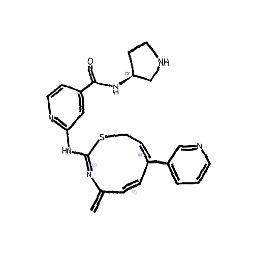 C=C1/C=C\C(c2cccnc2)=C/CS/C(Nc2cc(C(=O)N[C@H]3CCNC3)ccn2)=N\1